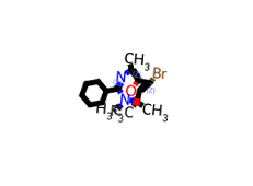 CC1=C(OCC(F)(F)F)\C(Br)=C\C(C)N(C)/C(C2CCCCC2)=N\1